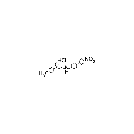 Cc1ccc(C(=O)CCCNCC2CCC(c3ccc([N+](=O)[O-])cc3)CC2)cc1.Cl